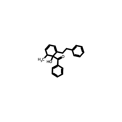 CC1C=CC=C(CCc2ccccc2)C1(O)C(=O)c1ccccc1